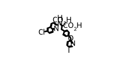 O=C(O)c1cc2cc(Cl)ccc2nc1NC(Cc1ccc(Oc2ccc(I)cn2)cc1)C(=O)O